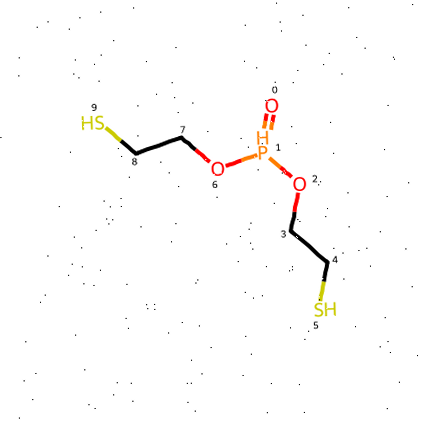 O=[PH](OCCS)OCCS